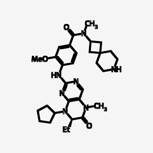 CC[C@@H]1C(=O)N(C)c2cnc(Nc3ccc(C(=O)N(C)C4CC5(CCNCC5)C4)cc3OC)nc2N1C1CCCC1